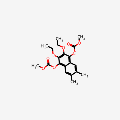 CCOc1c(OCC)c(OC(=O)OC)c2cc(C)c(C)cc2c1OC(=O)OC